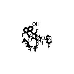 C#Cc1c(F)ccc2cc(O)cc(-c3nc4c5c(nc(OC[C@@]67CCCN6C[C@H](F)C7)nc5c3F)NC[C@@H](CC)N[C@H]3C[C@@H]3C(C3CC3)O4)c12